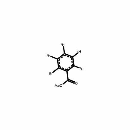 [2H]c1c([2H])c([2H])c(C(=O)OC)c(Br)c1[2H]